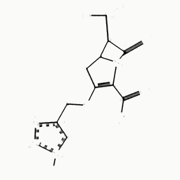 C[C@@H](O)C1C(=O)N2C(C(=O)O)=C(SCc3cn(C)nn3)CC12